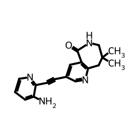 CC1(C)CNC(=O)c2cc(C#Cc3ncccc3N)cnc2C1